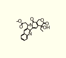 CC[C@@]1(O)C(=O)OCc2c1cc1n(c2=O)C(CC(=O)OC)c2cc3ccccc3nc2-1